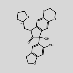 O=C1N(C[C@H]2CCCO2)c2cc3c(cc2C1(O)c1cc2c(cc1O)OCC2)OCCO3